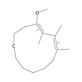 CO/C1=C(C)\C(C)=C(\C)CCCCCCCC1